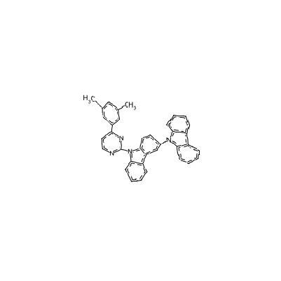 Cc1cc(C)cc(-c2ccnc(-n3c4ccccc4c4cc(-n5c6ccccc6c6ccccc65)ccc43)n2)c1